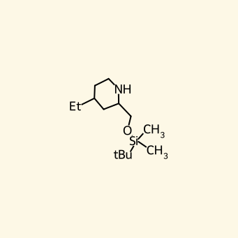 CCC1CCNC(CO[Si](C)(C)C(C)(C)C)C1